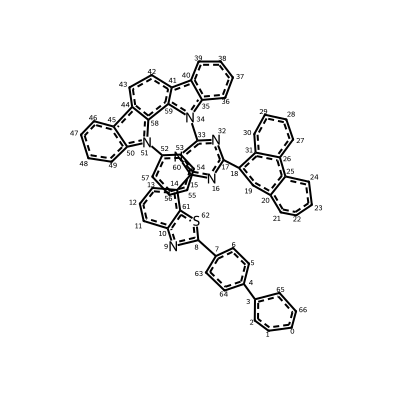 c1ccc(-c2ccc(-c3nc4cccc(-c5nc(-c6cc7ccccc7c7ccccc67)nc(-n6c7ccccc7c7ccc8c9ccccc9n(-c9ccccc9)c8c76)n5)c4s3)cc2)cc1